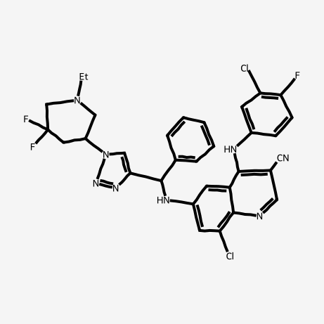 CCN1CC(n2cc(C(Nc3cc(Cl)c4ncc(C#N)c(Nc5ccc(F)c(Cl)c5)c4c3)c3ccccc3)nn2)CC(F)(F)C1